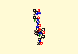 CC(C)(C)C(=O)N1CCC[C@@H](c2cccc(C(=O)N[C@@H](C(=O)N3C[C@H]4CC[C@@H](C3)C4OC3CCN(CC(=O)N4CCN(C(=O)c5cc(Cc6n[nH]c(=O)c7ccccc67)ccc5F)CC4)CC3)C3CCCCC3)c2F)C1